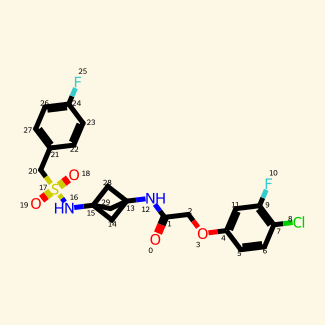 O=C(COc1ccc(Cl)c(F)c1)NC12CC(NS(=O)(=O)Cc3ccc(F)cc3)(C1)C2